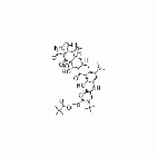 CN(C)c1cc(NC(=O)CN(C(=O)OCOC(=O)C(C)(C)C)C(C)(C)C)c(O)c2c1C[C@H]1C[C@H]3[C@H](N(C)C)C(O)=C(C(N)=O)C(=O)[C@@]3(O)C(O)=C1C2=O